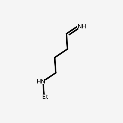 CCNCCCC=N